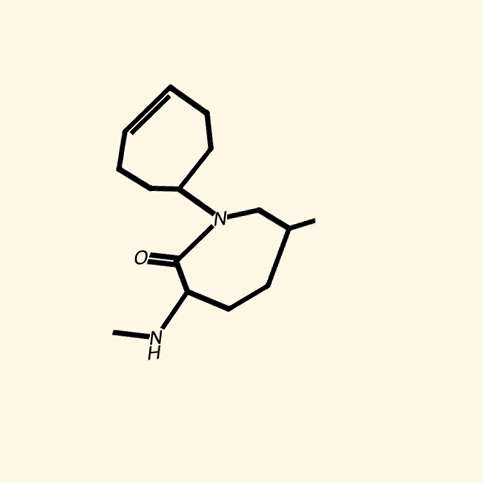 CNC1CCC(C)CN(C2CCC=CCC2)C1=O